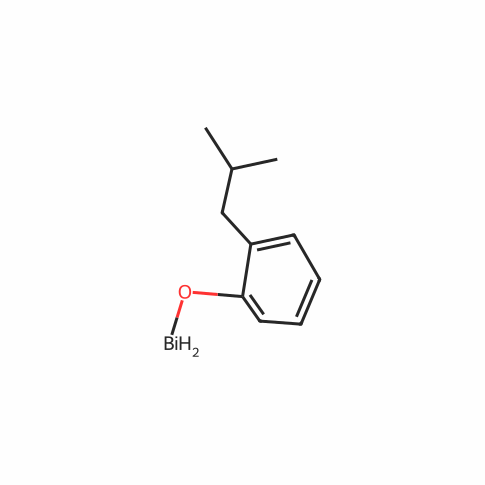 CC(C)Cc1ccccc1[O][BiH2]